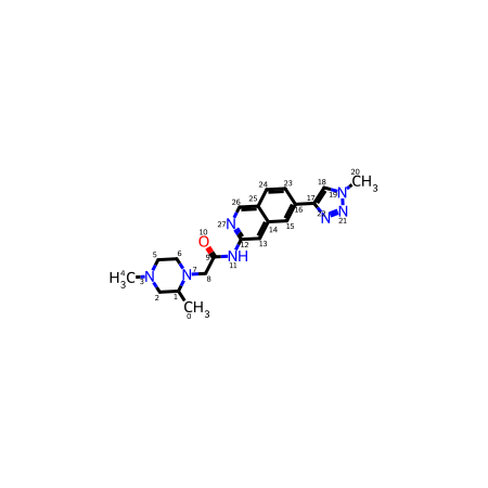 CC1CN(C)CCN1CC(=O)Nc1cc2cc(-c3cn(C)nn3)ccc2cn1